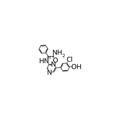 NC(=O)[C@H](Nc1cncc(-c2ccc(O)c(Cl)c2)n1)c1ccccc1